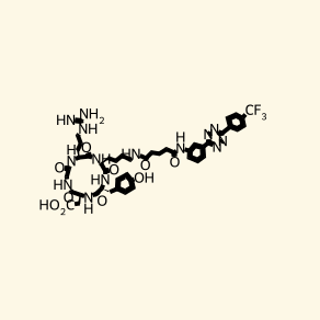 N=C(N)NCCC[C@@H]1NC(=O)CNC(=O)[C@H](CC(=O)O)NC(=O)[C@@H](Cc2ccc(O)cc2)NC(=O)[C@H](CCCCNC(=O)CCCC(=O)Nc2cccc(-c3nnc(-c4ccc(C(F)(F)F)cc4)nn3)c2)NC1=O